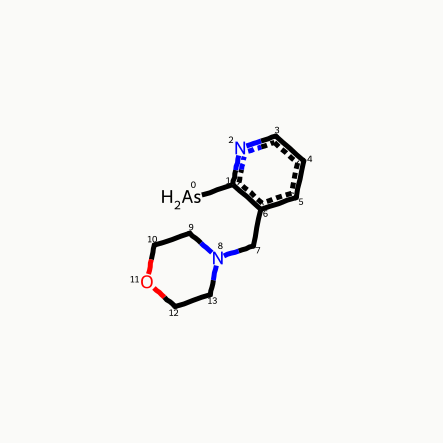 [AsH2]c1ncccc1CN1CCOCC1